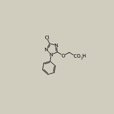 O=C(O)COc1nc(Cl)nn1-c1ccccc1